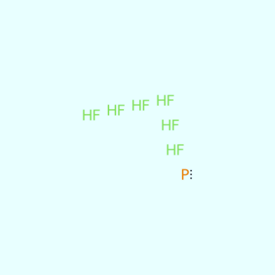 F.F.F.F.F.F.[P]